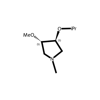 CO[C@H]1CN(C)C[C@@H]1OC(C)C